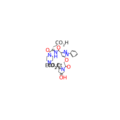 CCOC(=O)[C@@H]1C[C@@H](O)CN1C(=O)COc1cc(C(=O)N[C@@H](CCC(=O)O)C(=O)N2CCN(C(=O)OCC)CC2)nn1-c1ccccc1